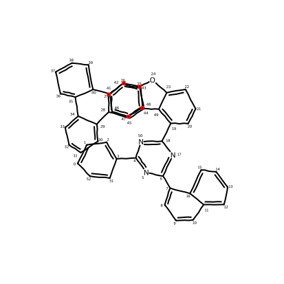 c1ccc(-c2nc(-c3cccc4ccccc34)nc(-c3cccc4oc5ccc(-c6ccccc6-c6ccccc6-c6ccccc6)cc5c34)n2)cc1